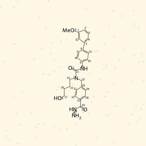 COc1cccc(-c2ccc(NC(=O)N(CCCCO)Cc3ccc(C(=O)NN)cc3)cc2)c1